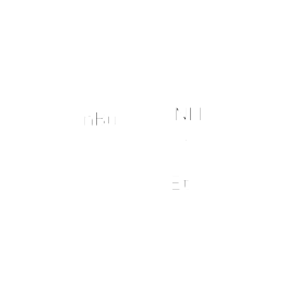 CCCCCCC(CC)C(C)=N